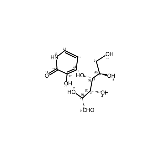 O=C[C@H](O)[C@@H](O)[C@H](O)[C@H](O)CO.O=c1[nH]cccc1O